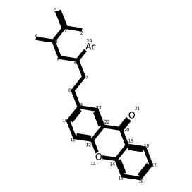 C=C(C)C(C)CC(CCc1ccc2oc3ccccc3c(=O)c2c1)C(C)=O